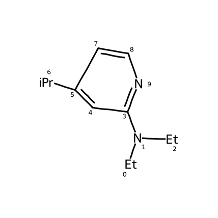 CCN(CC)c1cc(C(C)C)ccn1